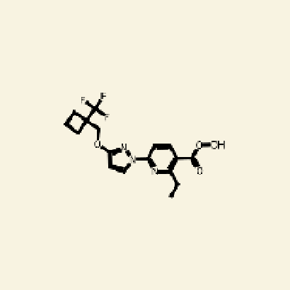 CCc1nc(-n2ccc(OCC3(C(F)(F)F)CCC3)n2)ccc1C(=O)OO